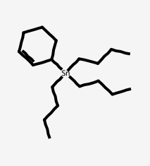 CCC[CH2][Sn]([CH2]CCC)([CH2]CCC)[CH]1C=CCCC1